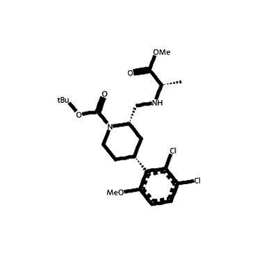 COC(=O)[C@H](C)NC[C@@H]1C[C@H](c2c(OC)ccc(Cl)c2Cl)CCN1C(=O)OC(C)(C)C